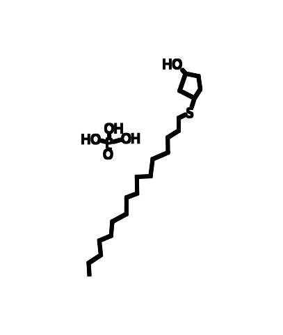 CCCCCCCCCCCCCCCCSC1CCC(O)C1.O=P(O)(O)O